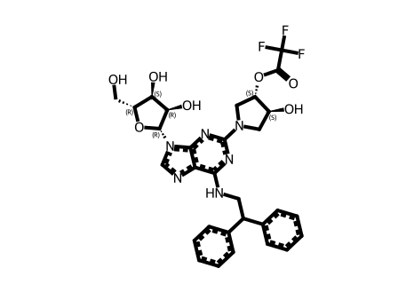 O=C(O[C@H]1CN(c2nc(NCC(c3ccccc3)c3ccccc3)c3ncn([C@@H]4O[C@H](CO)[C@@H](O)[C@H]4O)c3n2)C[C@@H]1O)C(F)(F)F